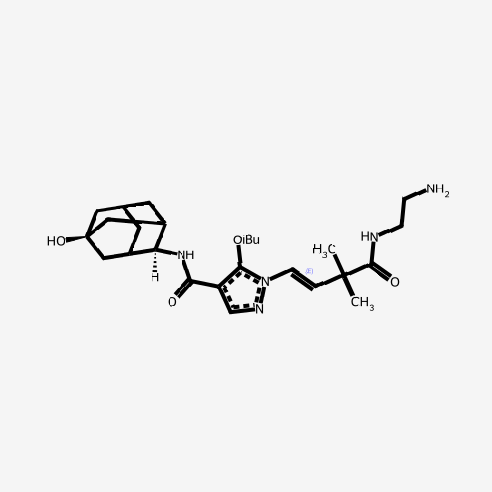 CC(C)COc1c(C(=O)N[C@H]2C3CC4CC2C[C@@](O)(C4)C3)cnn1/C=C/C(C)(C)C(=O)NCCN